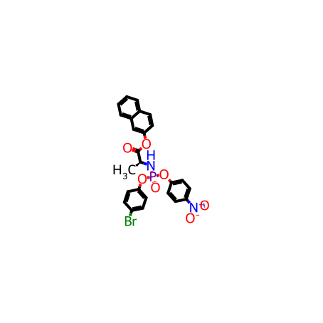 C[C@H](NP(=O)(Oc1ccc(Br)cc1)Oc1ccc([N+](=O)[O-])cc1)C(=O)Oc1ccc2ccccc2c1